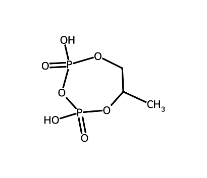 CC1COP(=O)(O)OP(=O)(O)O1